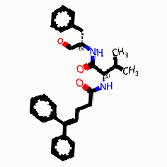 CC(C)[C@H](NC(=O)CCC=C(c1ccccc1)c1ccccc1)C(=O)N[C@H](C=O)Cc1ccccc1